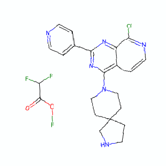 Clc1nccc2c(N3CCC4(CCNC4)CC3)nc(-c3ccncc3)nc12.O=C(OF)C(F)F